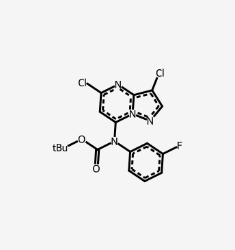 CC(C)(C)OC(=O)N(c1cccc(F)c1)c1cc(Cl)nc2c(Cl)cnn12